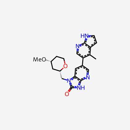 CO[C@@H]1CCO[C@H](Cn2c(=O)[nH]c3ncc(-c4cnc5[nH]ccc5c4C)cc32)C1